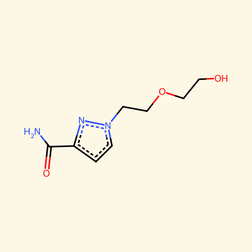 NC(=O)c1ccn(CCOCCO)n1